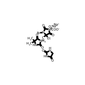 CC1(C)NC(=O)NC1=O.CCC1(C)C(=O)NC(=O)N1Br.O=C([O-])[O-].O=C1CNC(=O)N1.[Na+].[Na+]